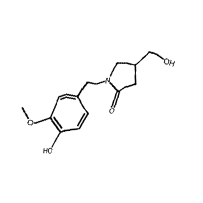 COc1cc(CN2CC(CO)CC2=O)ccc1O